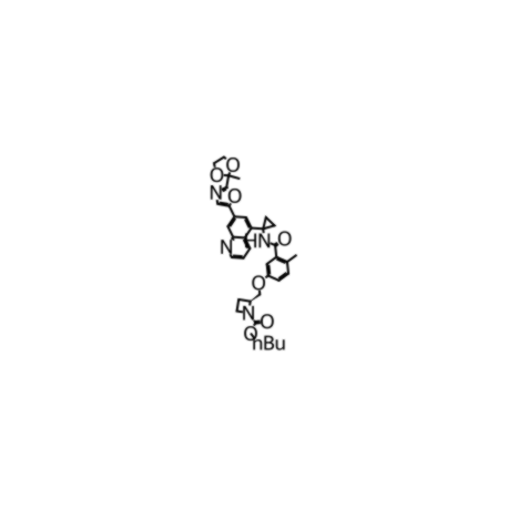 CCCCOC(=O)N1CC[C@H]1COc1ccc(C)c(C(=O)NC2(c3cc(-c4cnc(C5(C)OCCO5)o4)cc4ncccc34)CC2)c1